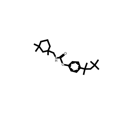 CC(C)(C)CC(C)(C)c1ccc(OC(=O)NCC2(C)C[CH]CC(C)(C)C2)cc1